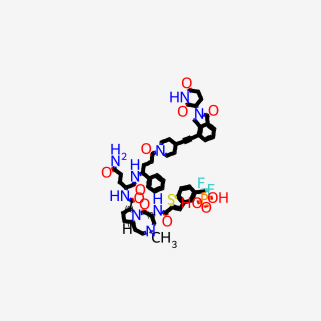 CN1CC[C@H]2CC[C@@H](C(=O)NC(CCC(N)=O)C(=O)NC(CCC(=O)N3CCC(C#Cc4cccc5c4CN(C4CCC(=O)NC4=O)C5=O)CC3)c3ccccc3)N2C(=O)[C@@H](NC(=O)c2cc3cc(C(F)(F)P(=O)(O)O)ccc3s2)C1